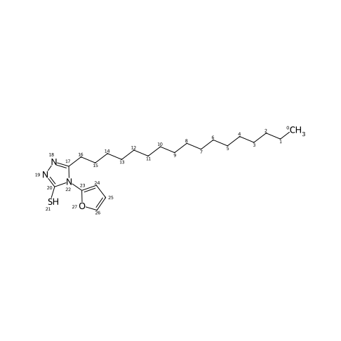 CCCCCCCCCCCCCCCCCc1nnc(S)n1-c1ccco1